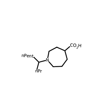 CCCCCC(CCC)N1CCCC(C(=O)O)CC1